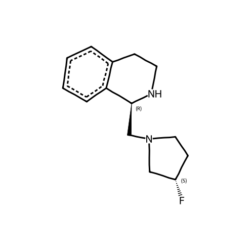 F[C@H]1CCN(C[C@@H]2NCCc3ccccc32)C1